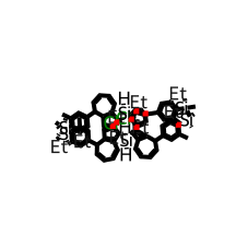 CCC1=CC2=C(C=CC=CC2c2cc(C)c([Si](C)(C)C)c(CC)c2)[C]12[SiH](C)[C]1(C(CC)=CC3=C1C=CC=CC3c1cc(C)c([Si](C)(C)C)c(CC)c1)[Hf]21([Cl])([Cl])[C]2(C(CC)=CC3=C2C=CC=CC3c2cc(C)c([Si](C)(C)C)c(CC)c2)[SiH](C)[C]12C(CC)=CC1=C2C=CC=CC1c1cc(C)c([Si](C)(C)C)c(CC)c1